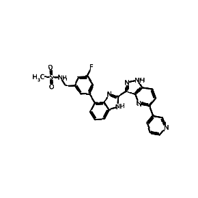 CS(=O)(=O)NCc1cc(F)cc(-c2cccc3[nH]c(-c4n[nH]c5ccc(-c6cccnc6)nc45)nc23)c1